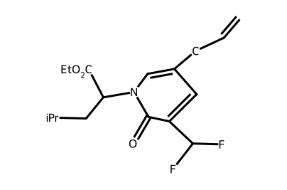 C=CCc1cc(C(F)F)c(=O)n(C(CC(C)C)C(=O)OCC)c1